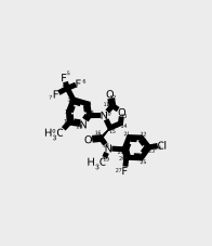 Cc1cc(C(F)(F)F)cc(N2C(=O)OC[C@H]2C(=O)N(C)c2ccc(Cl)cc2F)n1